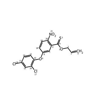 C=CCOC(=S)c1cc(Oc2ccc(Cl)cc2Cl)ccc1[N+](=O)[O-]